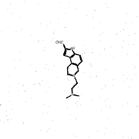 CN(C)CCN1CCc2c(ccc3[nH]c(C=O)cc23)C1